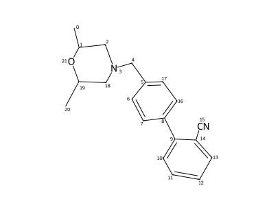 CC1CN(Cc2ccc(-c3ccccc3C#N)cc2)CC(C)O1